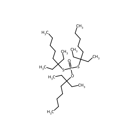 CCCCCC(CC)(CC)OP(=O)(SC(CC)(CC)CCCCC)SC(CC)(CC)CCCCC